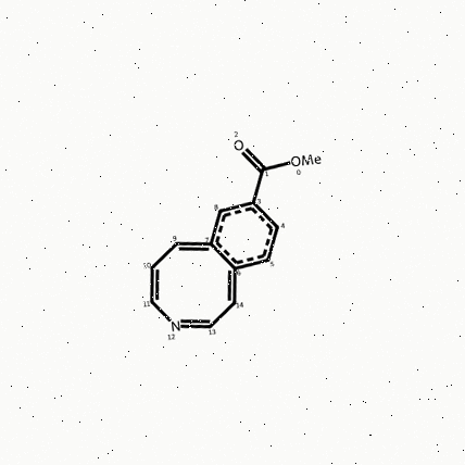 COC(=O)c1ccc2c(c1)=CC=CN=CC=2